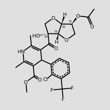 COC(=O)C1=C(C)NC(C)=C(C(=O)[C@@]2(O)CO[C@@H]3[C@@H](OC(C)=O)CO[C@@H]32)C1c1cccc(C(F)(F)F)c1Cl